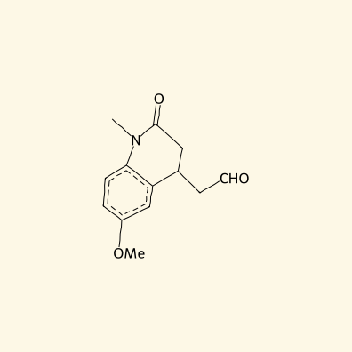 COc1ccc2c(c1)C(CC=O)CC(=O)N2C